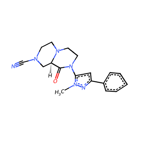 Cn1nc(-c2ccccc2)cc1N1CCN2CCN(C#N)C[C@@H]2C1=O